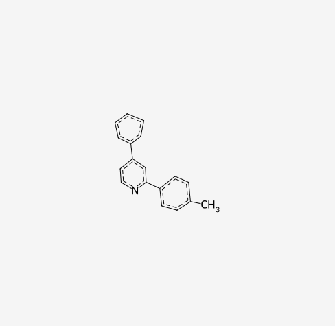 Cc1ccc(-c2cc(-c3ccccc3)ccn2)cc1